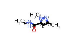 CCNC(=O)c1cc(C)nn1C